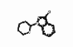 Clc1nn(C2CCCCO2)c2ccccc12